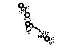 COc1cc(S(C)(=O)=O)ccc1NC(=O)OCC#Cc1cc2c(NC3CCC(N4C(=O)c5ccccc5C4=O)CC3F)cccc2n1CC(F)(F)F